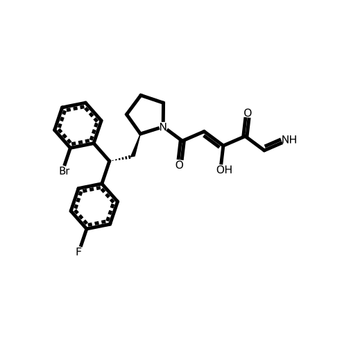 N=CC(=O)/C(O)=C/C(=O)N1CCC[C@@H]1C[C@H](c1ccc(F)cc1)c1ccccc1Br